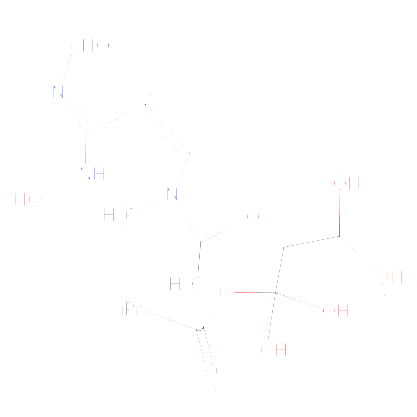 CC(C)C(=O)OC(O)(O)C(OC(C)N(C)/C=C\C(=N/C=O)NO)C(O)O